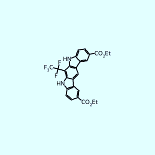 CCOC(=O)c1ccc2[nH]c3c(C(F)(F)C(F)(F)F)c4[nH]c5ccc(C(=O)OCC)cc5c4cc3c2c1